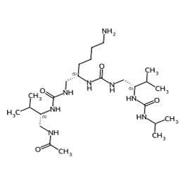 CC(=O)NC[C@@H](NC(=O)NC[C@H](CCCCN)NC(=O)NC[C@@H](NC(=O)NC(C)C)C(C)C)C(C)C